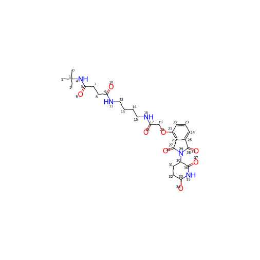 CC(C)(C)NC(=O)CCC(=O)NCCCCNC(=O)COc1cccc2c1C(=O)N(C1CCC(=O)NC1=O)C2=O